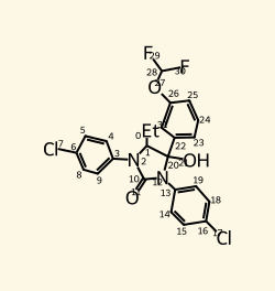 CCC1N(c2ccc(Cl)cc2)C(=O)N(c2ccc(Cl)cc2)C1(O)c1cccc(OC(F)F)c1